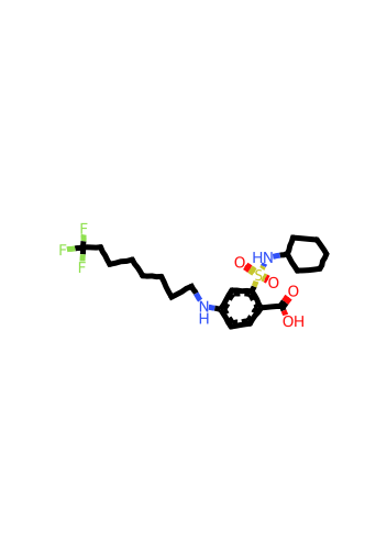 O=C(O)c1ccc(NCCCCCCCC(F)(F)F)cc1S(=O)(=O)NC1CCCCC1